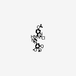 COc1cc(-n2cnc(Nc3nc(Cl)nc4cc(OC(C)C)ccc34)c2)cc(OC)c1OC